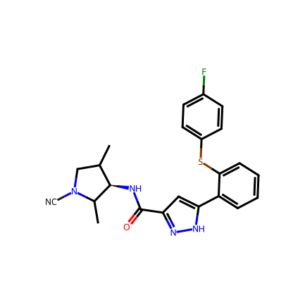 CC1CN(C#N)C(C)[C@@H]1NC(=O)c1cc(-c2ccccc2Sc2ccc(F)cc2)[nH]n1